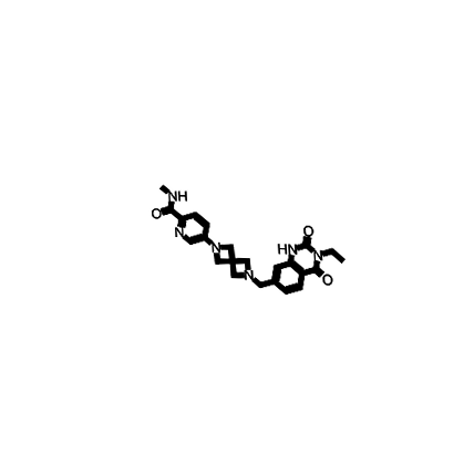 CCn1c(=O)[nH]c2cc(CN3CC4(C3)CN(c3ccc(C(=O)NC)nc3)C4)ccc2c1=O